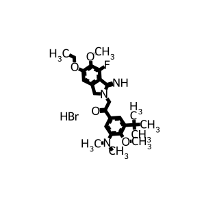 Br.CCOc1cc2c(c(F)c1OC)C(=N)N(CC(=O)c1cc(N(C)C)c(OC)c(C(C)(C)C)c1)C2